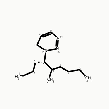 CCCCC(C)[C@H](CCC)N1CC=CN=N1